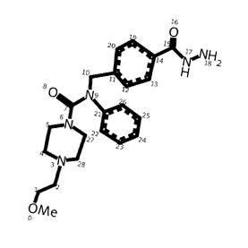 COCCN1CCN(C(=O)N(Cc2ccc(C(=O)NN)cc2)c2ccccc2)CC1